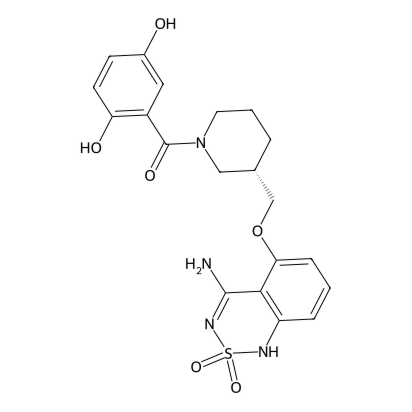 NC1=NS(=O)(=O)Nc2cccc(OC[C@H]3CCCN(C(=O)c4cc(O)ccc4O)C3)c21